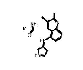 Cc1cc2c(NC3CCNC3)cccc2nc1C.Cl.NC=O